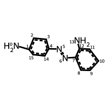 Nc1ccc(N=Nc2ccccc2N)cc1